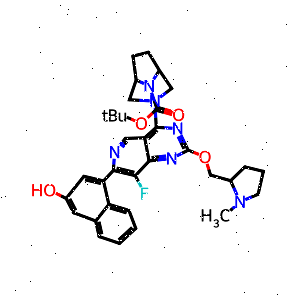 CN1CCCC1COc1nc(N2CC3CCC(C2)N3C(=O)OC(C)(C)C)c2cnc(-c3cc(O)cc4ccccc34)c(F)c2n1